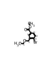 CCOCc1cc(C(=O)OC)ccc1Br